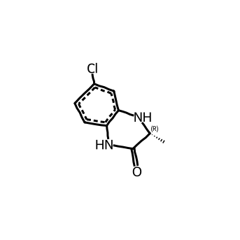 C[C@H]1Nc2cc(Cl)ccc2NC1=O